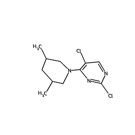 CC1CC(C)CN(c2nc(Cl)ncc2Cl)C1